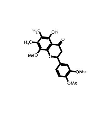 COc1ccc(C2CC(=O)c3c(O)c(C)c(C)c(OC)c3O2)cc1OC